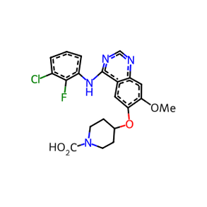 COc1cc2ncnc(Nc3cccc(Cl)c3F)c2cc1OC1CCN(C(=O)O)CC1